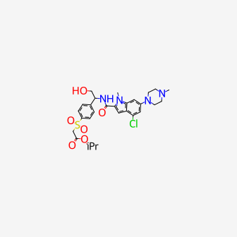 CC(C)OC(=O)CS(=O)(=O)c1ccc(C(CO)NC(=O)c2cc3c(Cl)cc(N4CCN(C)CC4)cc3n2C)cc1